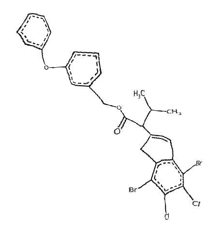 CC(C)C(C(=O)OCc1cccc(Oc2ccccc2)c1)C1=Cc2c(Br)c(Cl)c(Cl)c(Br)c2C1